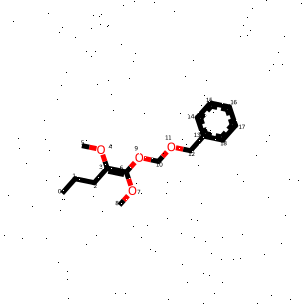 CCC/C(OC)=C(\OC)OCOCc1ccccc1